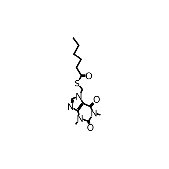 CCCCCC(=O)SCn1cnc2c1c(=O)n(C)c(=O)n2C